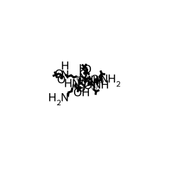 CC(C)C[C@H](NC(=O)[C@@](C)(N)CC(C)C)C(=O)N[C@@H](CC(=O)OC(C)(C)C)C(=O)N[C@@H](CCCCNC(=O)OC(C)(C)C)C(=O)N[C@@H](CCCCN)C(=O)O